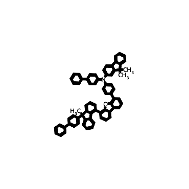 CC1(C)c2ccccc2-c2ccc(N(c3ccc(-c4ccccc4)cc3)c3ccc(-c4cccc5c4oc4c(-c6cccc7c6-c6ccccc6C7(C)c6ccc(-c7ccccc7)cc6)cccc45)cc3)cc21